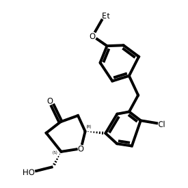 CCOc1ccc(Cc2cc([C@H]3CC(=O)C[C@@H](CO)O3)ccc2Cl)cc1